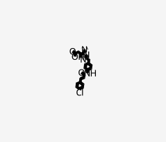 CN(C)c1nc(Cc2ccc(NC(=O)C=Cc3ccc(Cl)cc3)cc2)ncc1CC(=O)O